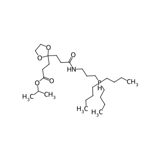 CCCC[PH](CCCC)(CCCC)CCCNC(=O)CCC1(CCC(=O)OC(C)C)OCCO1